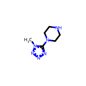 Cn1nnnc1N1CCNCC1